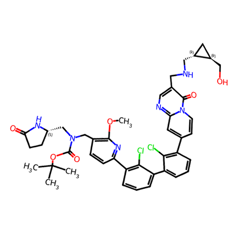 COc1nc(-c2cccc(-c3cccc(-c4ccn5c(=O)c(CNC[C@@H]6C[C@H]6CO)cnc5c4)c3Cl)c2Cl)ccc1CN(C[C@@H]1CCC(=O)N1)C(=O)OC(C)(C)C